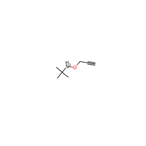 C#CCO[SiH2]C(C)(C)C